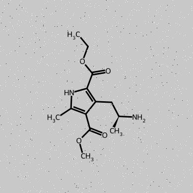 CCOC(=O)c1[nH]c(C)c(C(=O)OC)c1C[C@H](C)N